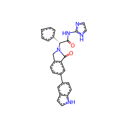 O=C(Nc1ncc[nH]1)[C@@H](c1ccccc1)N1Cc2ccc(-c3ccc4[nH]ccc4c3)cc2C1=O